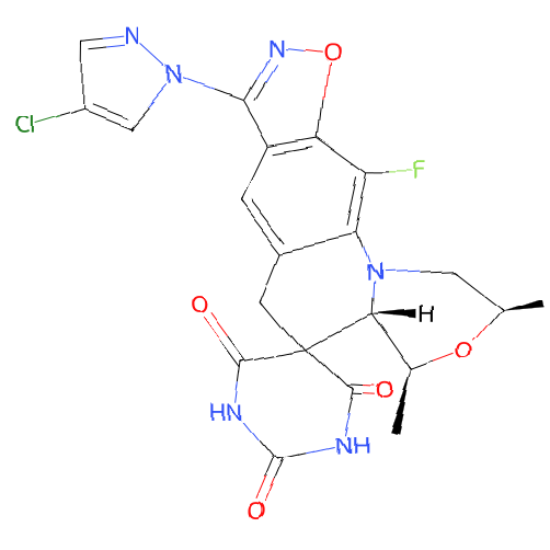 C[C@@H]1CN2c3c(cc4c(-n5cc(Cl)cn5)noc4c3F)CC3(C(=O)NC(=O)NC3=O)[C@H]2[C@H](C)O1